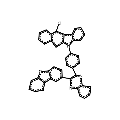 Clc1c2ccccc2cc2c1c1ccccc1n2-c1ccc(-c2nc3ccccc3nc2-c2ccc3oc4ccccc4c3c2)cc1